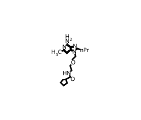 CCCc1nc2c(N)nc(C)cc2n1CCOCCNC(=O)C1CCCC1